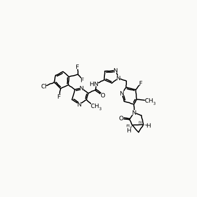 Cc1ncc(-c2c(C(F)F)ccc(Cl)c2F)nc1C(=O)Nc1cnn(Cc2ncc(N3C[C@H]4C[C@H]4C3=O)c(C)c2F)c1